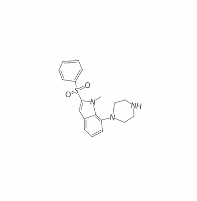 Cn1c(S(=O)(=O)c2ccccc2)cc2cccc(N3CCNCC3)c21